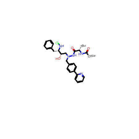 COC(=O)N[C@H](C(=O)NN(Cc1ccc(-c2ccccn2)cc1)C[C@H](O)[C@H](Cc1ccccc1)NCl)C(C)(C)C